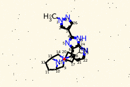 Cn1cc(-c2nc3c(N4CC5CCC(C4)N5[C@H]4C[C@@H](C#N)C4)ccnc3[nH]2)cn1